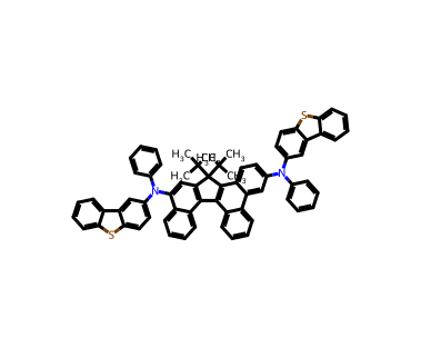 CC(C)(C)C1(C(C)(C)C)c2cc(N(c3ccccc3)c3ccc4sc5ccccc5c4c3)c3ccccc3c2-c2c1c1ccc(N(c3ccccc3)c3ccc4sc5ccccc5c4c3)cc1c1ccccc21